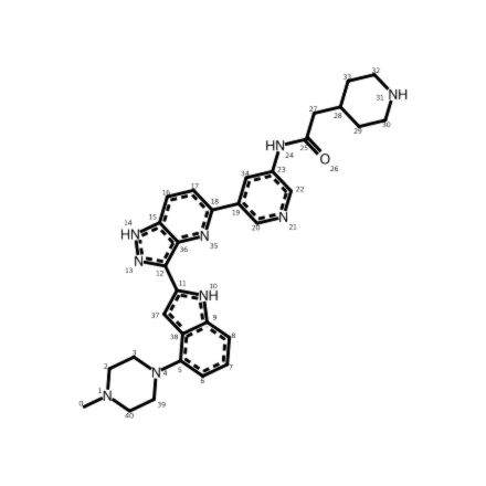 CN1CCN(c2cccc3[nH]c(-c4n[nH]c5ccc(-c6cncc(NC(=O)CC7CCNCC7)c6)nc45)cc23)CC1